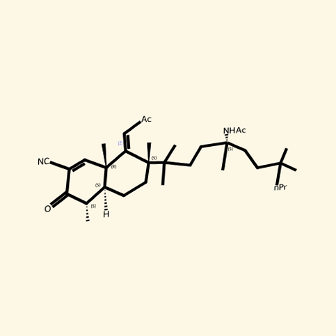 CCCC(C)(C)CC[C@@](C)(CCC(C)(C)[C@]1(C)CC[C@H]2[C@H](C)C(=O)C(C#N)=C[C@]2(C)/C1=C/C(C)=O)NC(C)=O